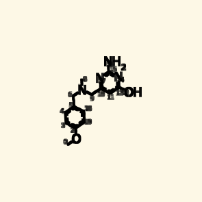 COc1ccc(CN(C)Cc2cc(O)nc(N)n2)cc1